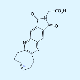 O=C(O)CN1C(=O)c2cc3nc4c(nc3cc2C1=O)CC/C=C/CC4